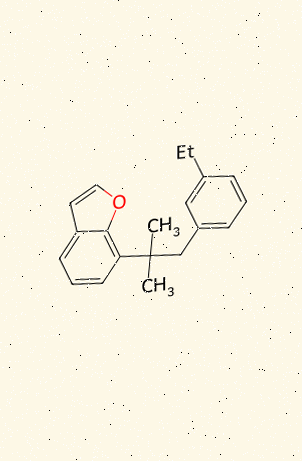 CCc1cccc(CC(C)(C)c2cccc3ccoc23)c1